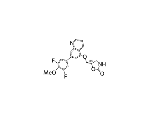 COc1c(F)cc(-c2cc(OC[C@H]3CNC(=O)O3)c3cccnc3c2)cc1F